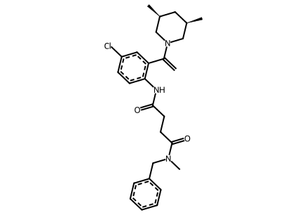 C=C(c1cc(Cl)ccc1NC(=O)CCC(=O)N(C)Cc1ccccc1)N1C[C@H](C)C[C@H](C)C1